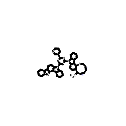 C=C1/C=C\C=C/CSc2c1ccc1c2c2ccccc2n1-c1nc(-c2cccnc2)nc(-n2c3ccccc3c3c4sc5ccccc5c4ccc32)n1